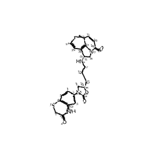 O=C1CSc2ccc(N3C[C@@H](CCCN[C@@H]4Cn5c(=O)ccc6nccc4c65)OC3=O)cc2N1